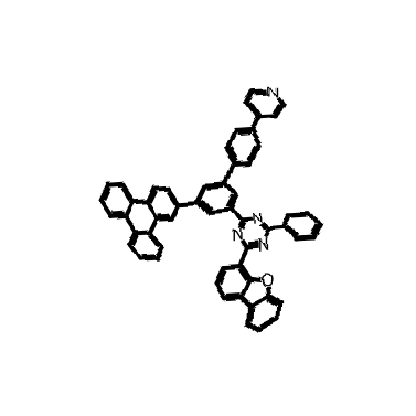 c1ccc(-c2nc(-c3cc(-c4ccc(-c5ccncc5)cc4)cc(-c4ccc5c6ccccc6c6ccccc6c5c4)c3)nc(-c3cccc4c3oc3ccccc34)n2)cc1